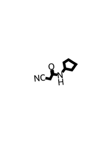 N#CCC(=O)NC1CCCC1